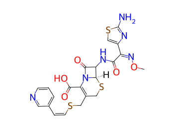 CO/N=C(\C(=O)NC1C(=O)N2C(C(=O)O)=C(CS/C=C\c3cccnc3)CS[C@H]12)c1csc(N)n1